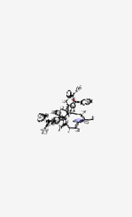 C=C1CC/C=C(\C)CC[C@@H]2C(C(CC3OC3(C)C)OC(C)=O)=CO[C@H](OC(C)=O)[C@@H]12